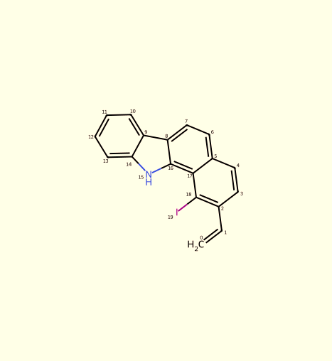 C=Cc1ccc2ccc3c4ccccc4[nH]c3c2c1I